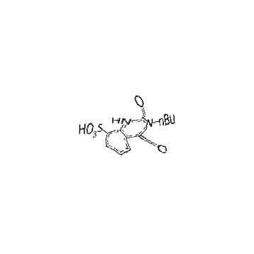 CCCCn1c(=O)[nH]c2c(S(=O)(=O)O)cccc2c1=O